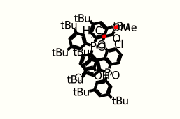 COC(=O)C(C)Oc1c(Cl)ccc(P(=O)(c2cc(C(C)(C)C)cc(C(C)(C)C)c2)c2cc(C(C)(C)C)cc(C(C)(C)C)c2)c1-c1c(P(=O)(c2cc(C(C)(C)C)cc(C(C)(C)C)c2)c2cc(C(C)(C)C)cc(C(C)(C)C)c2)ccc(Cl)c1O